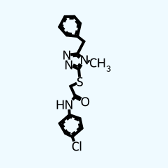 Cn1c(Cc2ccccc2)nnc1SCC(=O)Nc1ccc(Cl)cc1